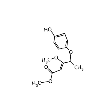 COC(=O)/C=C(\OC)C(C)Oc1ccc(O)cc1